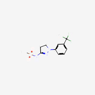 CS(=O)(=O)NC1=NN(c2cccc(C(F)(F)F)c2)CC1